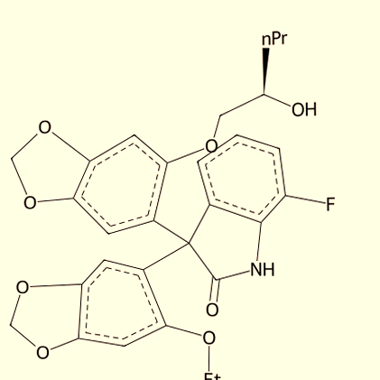 CCC[C@@H](O)COc1cc2c(cc1C1(c3cc4c(cc3OCC)OCO4)C(=O)Nc3c(F)cccc31)OCO2